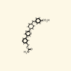 NC(=O)OCc1cccc(-c2cnc(N3CCN(Cc4ccc(C(=O)O)cc4)CC3)nc2)c1